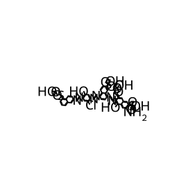 Nc1cc2c(O)c(/N=N/c3ccc(/N=N/c4cc(O)c(/N=N/c5ccc6c(SOOO)cccc6c5)cc4Cl)c4ccc(S(=O)(=O)O)cc34)c(SOOO)cc2cc1S(=O)(=O)O